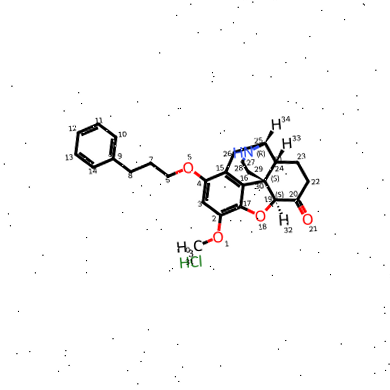 COc1cc(OCCCc2ccccc2)c2c3c1O[C@@H]1C(=O)CC[C@H]4[C@@H](C2)NCC[C@]314.Cl